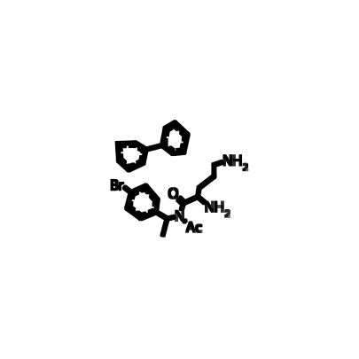 CC(=O)N(C(=O)C(N)CCCN)C(C)c1ccc(Br)cc1.c1ccc(-c2ccccc2)cc1